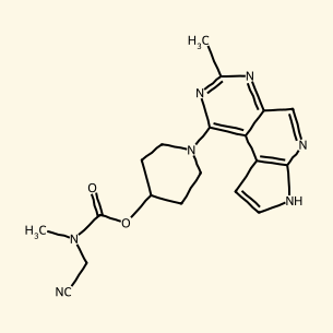 Cc1nc(N2CCC(OC(=O)N(C)CC#N)CC2)c2c(cnc3[nH]ccc32)n1